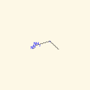 CCCCCCCC/C=C\CCCCCCCCCC(N)N1C=NCC1